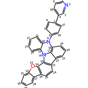 c1cncc(-c2ccc(N3c4ccccc4-n4c5c3cccc5c3ccc5c6ccccc6oc5c34)cc2)c1